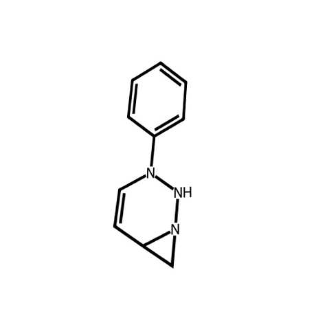 C1=CN(c2ccccc2)NN2CC12